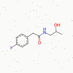 CC(O)CNC(=O)Cc1ccc(I)cc1